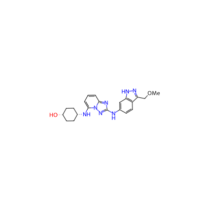 COCc1n[nH]c2cc(Nc3nc4cccc(N[C@H]5CC[C@@H](O)CC5)n4n3)ccc12